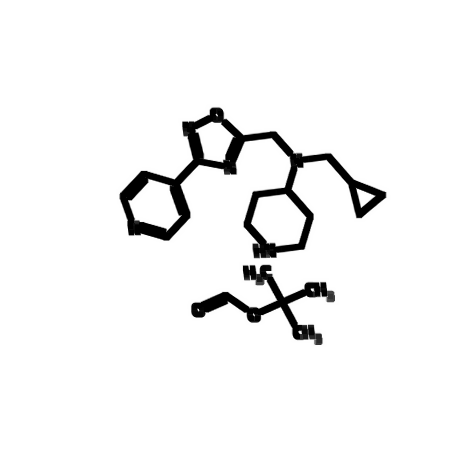 CC(C)(C)OC=O.c1cc(-c2noc(CN(CC3CC3)C3CCNCC3)n2)ccn1